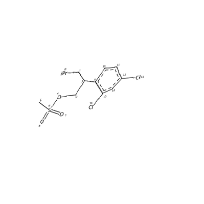 CC(C)CC(COS(C)(=O)=O)c1ccc(Cl)cc1Cl